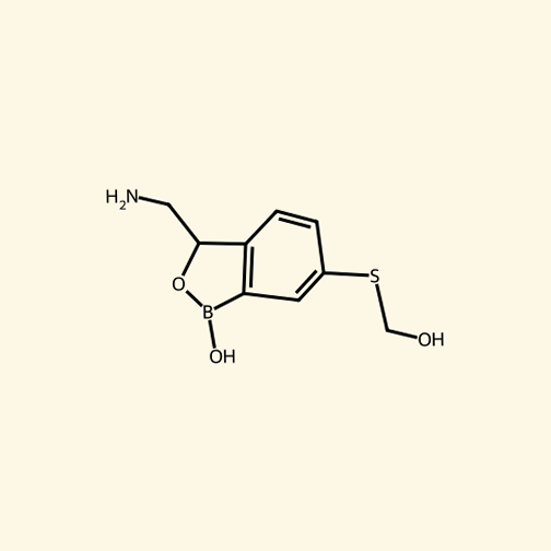 NCC1OB(O)c2cc(SCO)ccc21